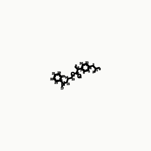 CC(C)Cc1ccc(C(C)C(=O)OCCCN(C)c2ccccc2)cc1